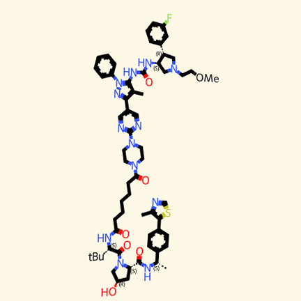 COCCN1C[C@@H](NC(=O)Nc2c(C)c(-c3cnc(N4CCN(C(=O)CCCCCC(=O)N[C@H](C(=O)N5C[C@H](O)C[C@H]5C(=O)N[C@@H](C)c5ccc(-c6scnc6C)cc5)C(C)(C)C)CC4)nc3)nn2-c2ccccc2)[C@H](c2cccc(F)c2)C1